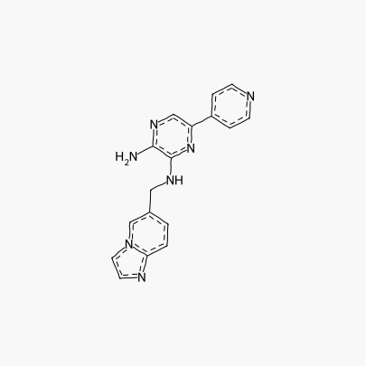 Nc1ncc(-c2ccncc2)nc1NCc1ccc2nccn2c1